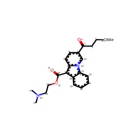 COCCC(=O)c1ccc2c(C(=O)OCCN(C)C)c3ccccc3n2c1